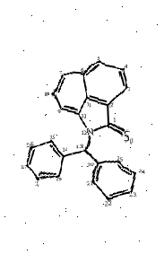 S=C1c2cccc3cccc(c23)N1C(c1ccccc1)c1ccccc1